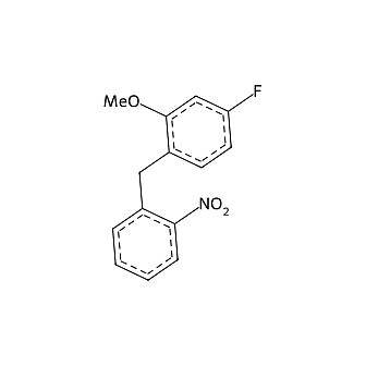 COc1cc(F)ccc1Cc1ccccc1[N+](=O)[O-]